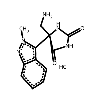 Cl.Cn1nc2ccccc2c1C1(CN)NC(=O)NC1=O